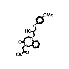 COc1ccc(OCC(O)CN2CCC(=O)N(CC(=O)C(C)(C)C)Cc3ccccc32)cc1